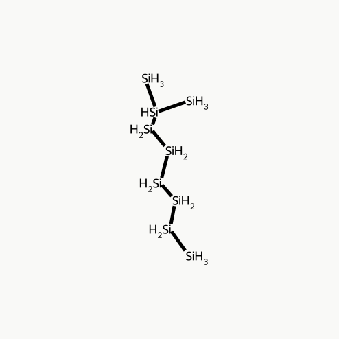 [SiH3][SiH2][SiH2][SiH2][SiH2][SiH2][SiH]([SiH3])[SiH3]